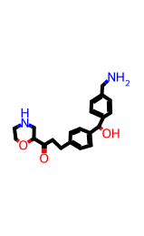 NCc1ccc(C(O)c2ccc(CCC(=O)C3CNCCO3)cc2)cc1